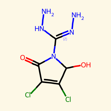 N/N=C(\NN)N1C(=O)C(Cl)=C(Cl)C1O